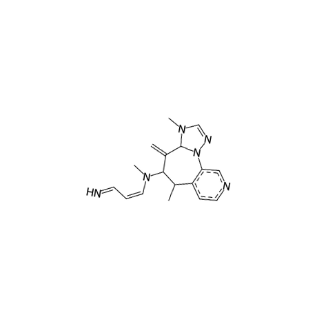 C=C1C(N(C)/C=C\C=N)C(C)c2ccncc2N2N=CN(C)C12